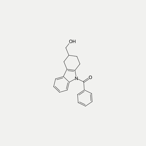 O=C(c1ccccc1)n1c2c(c3ccccc31)CC(CO)CC2